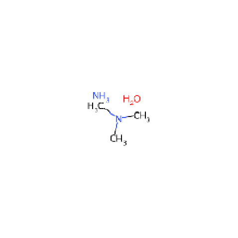 CN(C)C.N.O